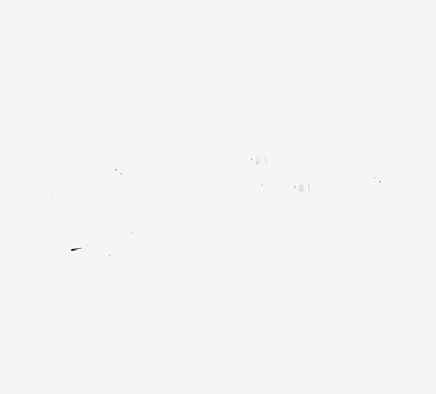 C[C@H]1[C@@H](NS(=O)(=O)c2ccc(NC(=O)NCc3cccnc3)cc2)C[C@@H]2C[C@@H]1C2(C)C